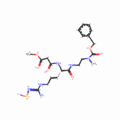 CN(CCNC(=O)[C@H](CCCN/C(N)=N/PI)NC(=O)CC(=O)OC(C)(C)C)C(=O)OCc1ccccc1